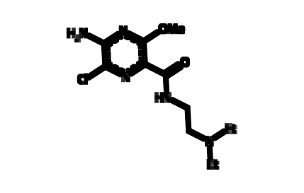 CCN(CC)CCNC(=O)c1nc(Cl)c(N)nc1OC